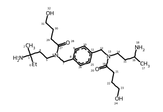 CCC(C)(N)CCN(Cc1ccc(CN(CCC(C)N)C(=O)CCCO)cc1)C(=O)CCCO